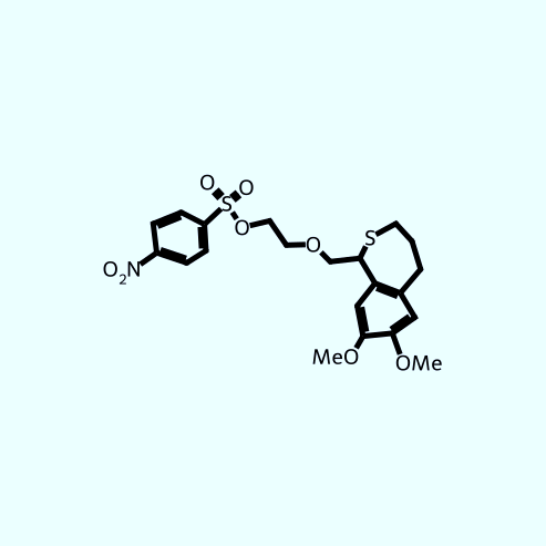 COc1cc2c(cc1OC)C(COCCOS(=O)(=O)c1ccc([N+](=O)[O-])cc1)SCCC2